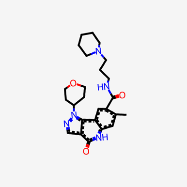 Cc1cc2[nH]c(=O)c3cnn(C4CCOCC4)c3c2cc1C(=O)NCCCN1CCCCC1